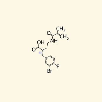 C=C(C)C(=O)NCC/C(=C\c1ccc(F)c(Br)c1)C(=O)O